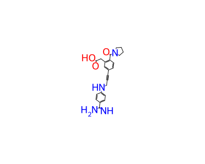 N=C(N)c1ccc(NCC#Cc2ccc(C(=O)N3CCCC3)c(CC(=O)O)c2)cc1